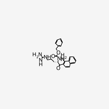 N=C(N)NCCC[C@H](NC(=O)OCc1ccccc1)C(=O)c1ccc2ccccc2c1N